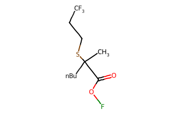 CCCCC(C)(SCCC(F)(F)F)C(=O)OF